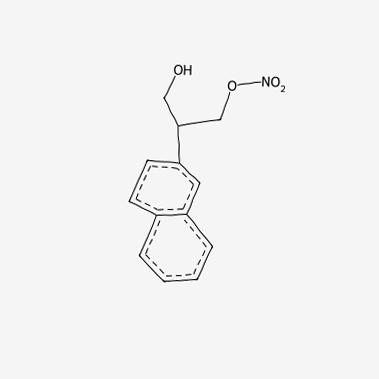 O=[N+]([O-])OCC(CO)c1ccc2ccccc2c1